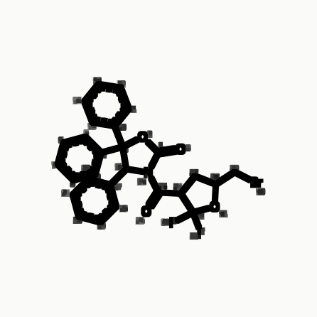 O=C1OC(c2ccccc2)(c2ccccc2)C(c2ccccc2)N1C(=O)C1CC(CBr)OC1(F)F